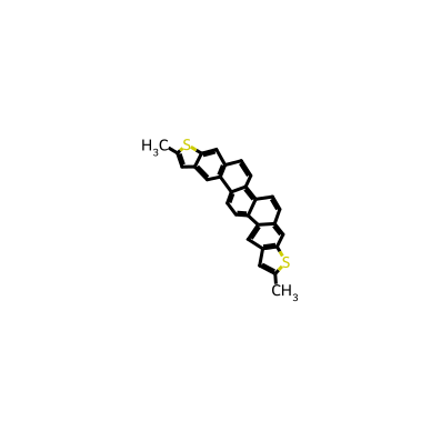 Cc1cc2cc3c(ccc4c3ccc3c5cc6cc(C)sc6cc5ccc34)cc2s1